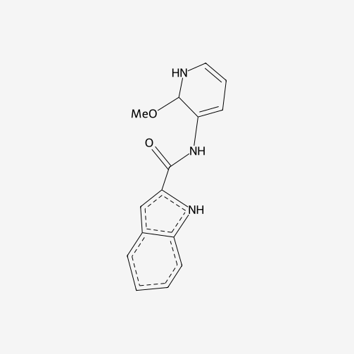 COC1NC=CC=C1NC(=O)c1cc2ccccc2[nH]1